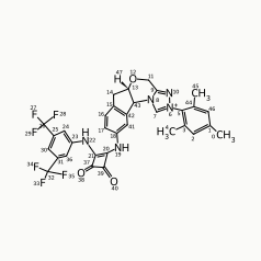 Cc1cc(C)c(-[n+]2cn3c(n2)CO[C@H]2Cc4ccc(Nc5c(Nc6cc(C(F)(F)F)cc(C(F)(F)F)c6)c(=O)c5=O)cc4C23)c(C)c1